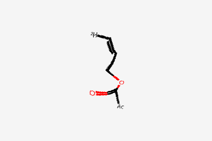 [2H]/C=C\COC(=O)C(C)=O